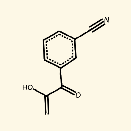 C=C(O)C(=O)c1cccc(C#N)c1